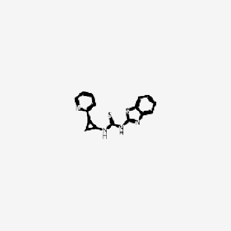 S=C(Nc1nc2ccccc2s1)NC1CC1c1ccccn1